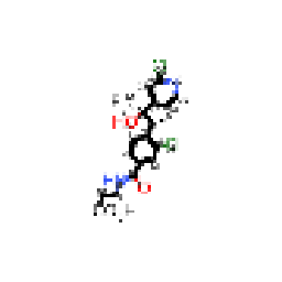 C[C@H](c1ccc(C(=O)NCCC(=O)O)cc1Cl)[C@@](O)(c1ccnc(Cl)c1)C(F)(F)F